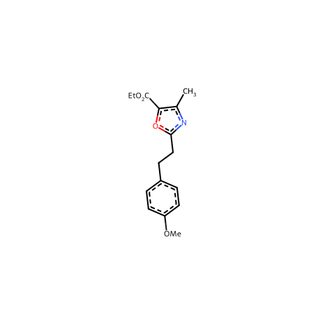 CCOC(=O)c1oc(CCc2ccc(OC)cc2)nc1C